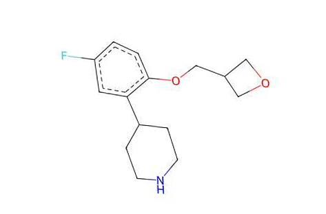 Fc1ccc(OCC2COC2)c(C2CCNCC2)c1